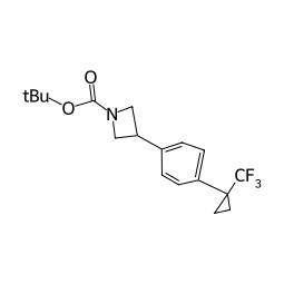 CC(C)(C)OC(=O)N1CC(c2ccc(C3(C(F)(F)F)CC3)cc2)C1